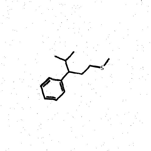 CSCCC(c1ccccc1)C(C)C